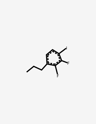 CCCc1ccc(I)c(F)c1F